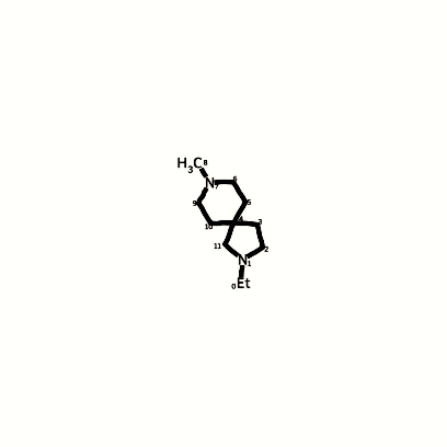 [CH2]CN1CCC2(CCN(C)CC2)C1